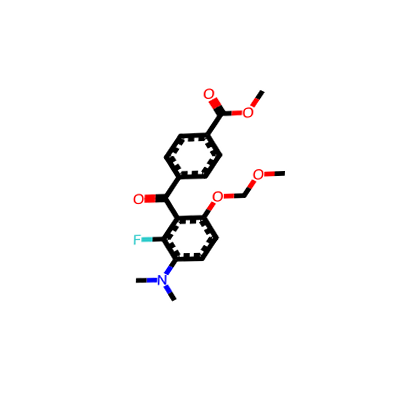 COCOc1ccc(N(C)C)c(F)c1C(=O)c1ccc(C(=O)OC)cc1